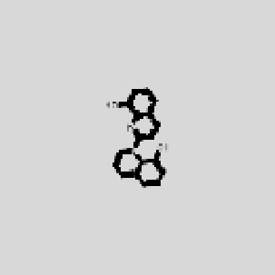 OC1=CC=CC2=CC=CN(c3ccc4cccc(O)c4n3)C12